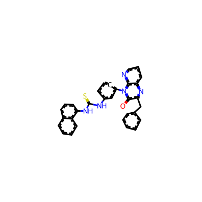 O=c1c(Cc2ccccc2)nc2cccnc2n1-c1cccc(NC(=S)Nc2cccc3ccccc23)c1